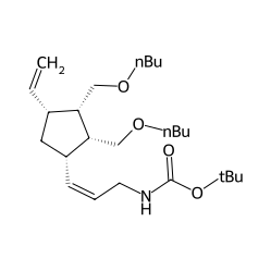 C=C[C@H]1C[C@@H](/C=C\CNC(=O)OC(C)(C)C)[C@@H](COCCCC)[C@H]1COCCCC